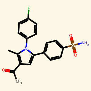 Cc1c(C(=O)C(F)(F)F)cc(-c2ccc(S(N)(=O)=O)cc2)n1-c1ccc(F)cc1